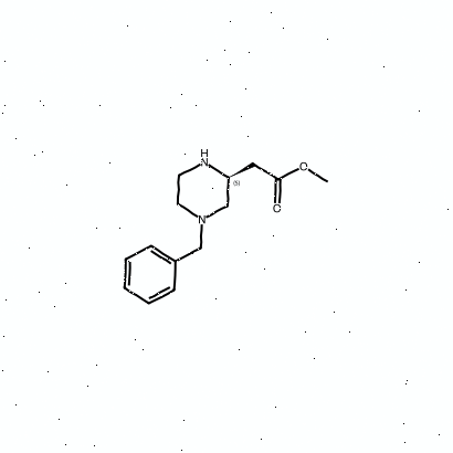 COC(=O)C[C@H]1CN(Cc2ccccc2)CCN1